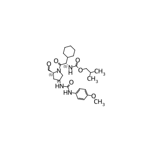 COc1ccc(NC(=O)N[C@@H]2C[C@@H](C=O)N(C(=O)[C@@H](NC(=O)OCC(C)C)C3CCCCC3)C2)cc1